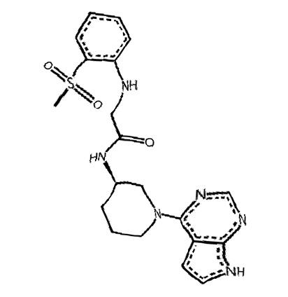 CS(=O)(=O)c1ccccc1NCC(=O)N[C@@H]1CCCN(c2ncnc3[nH]ccc23)C1